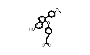 COc1ccc(-c2ccc3cc(O)ccc3c2Oc2ccc(C=CC(=O)O)cc2)cc1